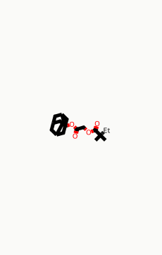 CCC(C)(C)C(=O)OCC(=O)OC12CC3CC(CC(C3)C1)C2